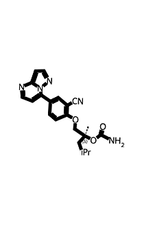 CC(C)C[C@@](C)(COc1ccc(-c2ccnc3ccnn23)cc1C#N)OC(N)=O